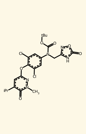 CC(C)c1cc(Oc2c(Cl)cc(N(Cc3noc(=O)[nH]3)C(=O)OC(C)(C)C)cc2Cl)nn(C)c1=O